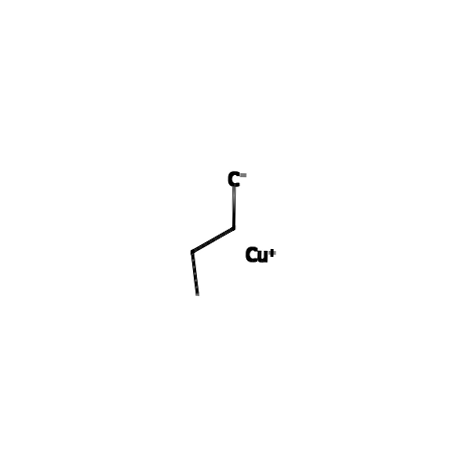 [CH2-]CCC.[Cu+]